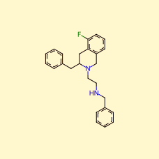 Fc1cccc2c1CC(Cc1ccccc1)N(CCNCc1ccccc1)C2